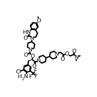 COc1ccc2c(c1)CCN(C1CCN(C(=O)O[C@H](Cc3cc(Cl)c(N)c(C(F)(F)F)c3)C(=O)N3CCC(C4CCN(CC(=O)OCC(=O)N(C)C)CC4)CC3)CC1)C(=O)N2